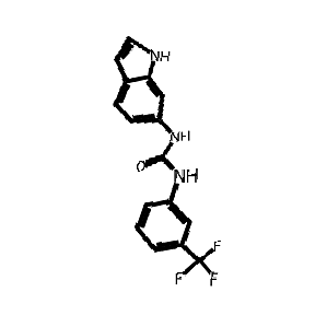 O=C(Nc1cccc(C(F)(F)F)c1)Nc1ccc2cc[nH]c2c1